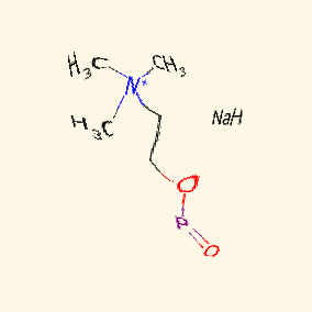 C[N+](C)(C)CCOP=O.[NaH]